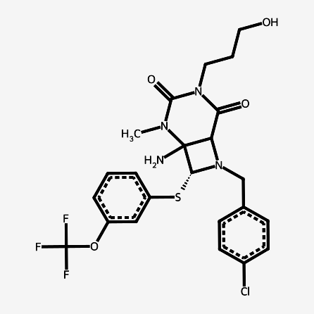 CN1C(=O)N(CCCO)C(=O)C2N(Cc3ccc(Cl)cc3)[C@H](Sc3cccc(OC(F)(F)F)c3)C21N